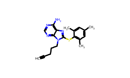 C#CCCCn1c(Sc2c(C)cc(C)cc2C)nc2c(N)ncnc21